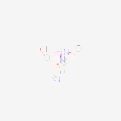 COc1ccc(COC(=O)C2=C([SH]3C=CC(c4nccs4)=C3)CSC3[C@H](NC(=O)Cc4ccccc4)C(=O)N23)cc1